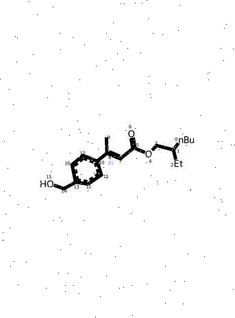 CCCCC(CC)COC(=O)/C=C(\C)c1ccc(CO)cc1